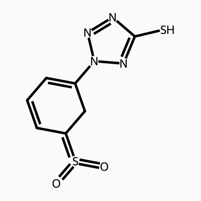 O=S(=O)=C1C=CC=C(n2nnc(S)n2)C1